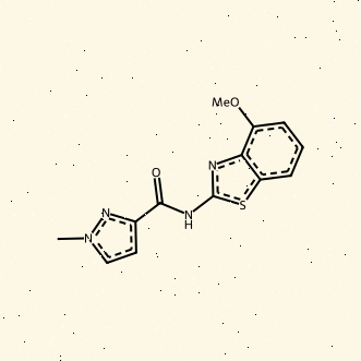 COc1cccc2sc(NC(=O)c3ccn(C)n3)nc12